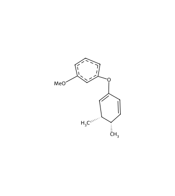 COc1cccc(OC2=C[C@@H](C)[C@@H](C)C=C2)c1